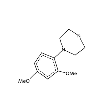 COc1ccc(N2CC[N]CC2)c(OC)c1